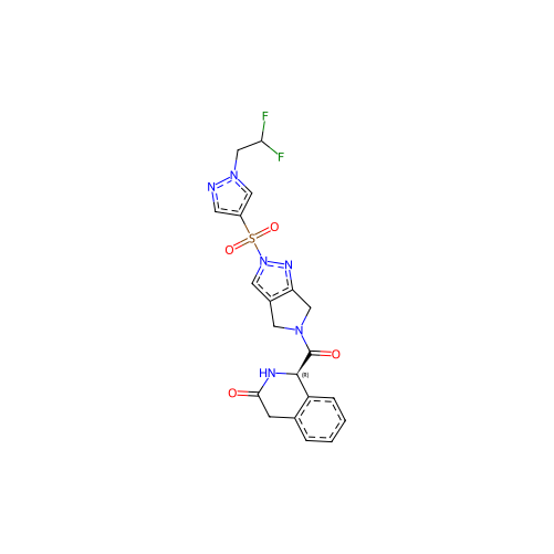 O=C1Cc2ccccc2[C@H](C(=O)N2Cc3cn(S(=O)(=O)c4cnn(CC(F)F)c4)nc3C2)N1